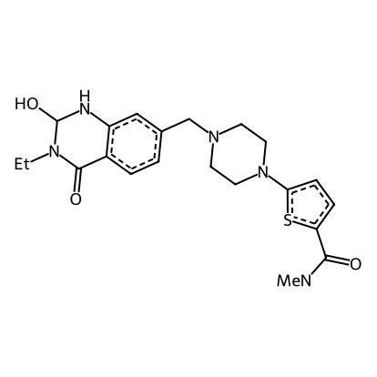 CCN1C(=O)c2ccc(CN3CCN(c4ccc(C(=O)NC)s4)CC3)cc2NC1O